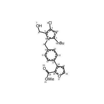 CCCCc1nc(Cl)c(CO)n1Cc1ccc(-c2ccoc2C(=O)OC)cc1